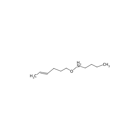 CC=CCCCO[SiH2]CCCC